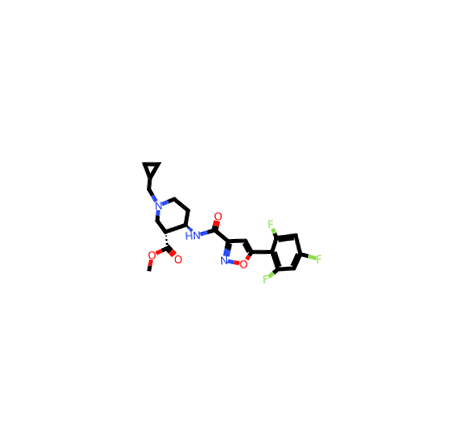 COC(=O)[C@@H]1CN(CC2CC2)CC[C@H]1NC(=O)c1cc(-c2c(F)cc(F)cc2F)on1